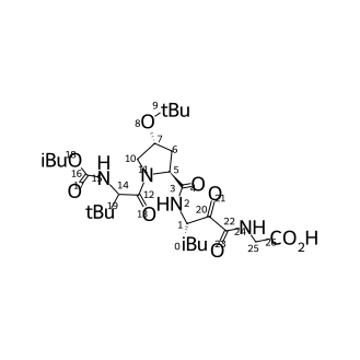 CC[C@@H](C)C(NC(=O)[C@@H]1C[C@@H](OC(C)(C)C)CN1C(=O)C(NC(=O)OCC(C)C)C(C)(C)C)C(=O)C(=O)NCC(=O)O